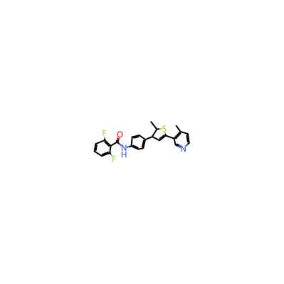 Cc1ccncc1C1=CC(c2ccc(NC(=O)c3c(F)cccc3F)cc2)C(C)S1